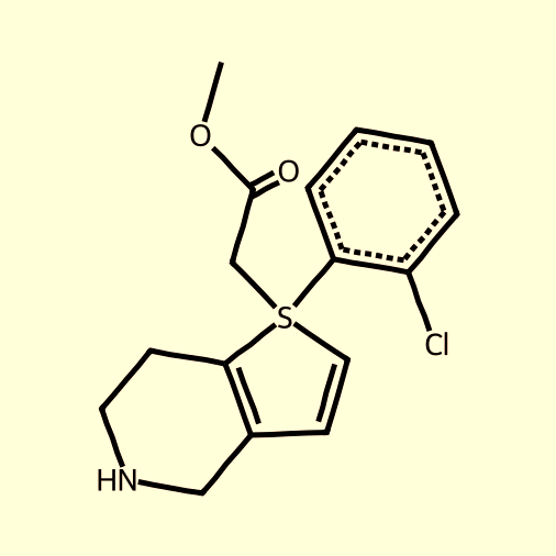 COC(=O)CS1(c2ccccc2Cl)C=CC2=C1CCNC2